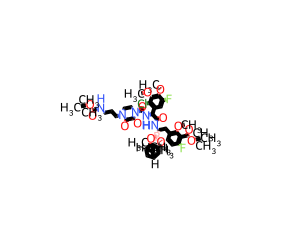 COc1c(F)cc(C(NC(=O)N2CCN(CCCNC(=O)OC(C)(C)C)C(=O)C2=O)C(=O)NC(Cc2ccc(F)c(C(=O)OC(C)(C)C)c2OC)B2O[C@@H]3C[C@@H]4C[C@@H](C4(C)C)[C@]3(C)O2)c(Cl)c1OC